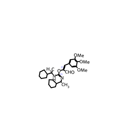 COc1cc(/C=C(\C=O)O/C(=N/C(C)C2CCCCC2)NC(C)C2CCCCC2)cc(OC)c1OC